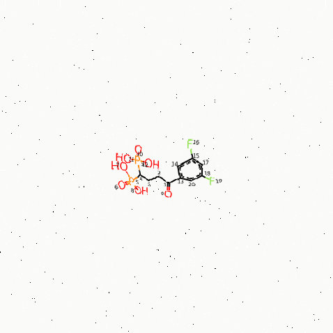 O=C(CCC(P(=O)(O)O)P(=O)(O)O)c1cc(F)cc(F)c1